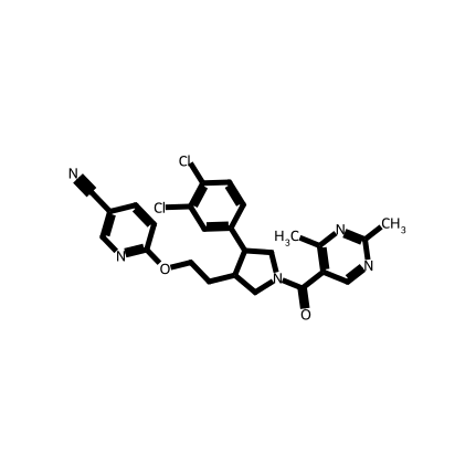 Cc1ncc(C(=O)N2CC(CCOc3ccc(C#N)cn3)C(c3ccc(Cl)c(Cl)c3)C2)c(C)n1